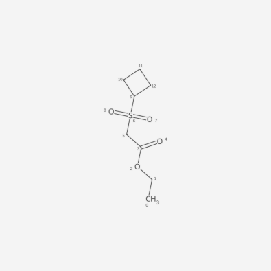 CCOC(=O)CS(=O)(=O)C1CCC1